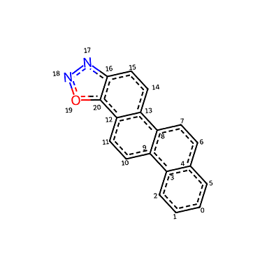 c1ccc2c(c1)ccc1c2ccc2c1ccc1nnoc12